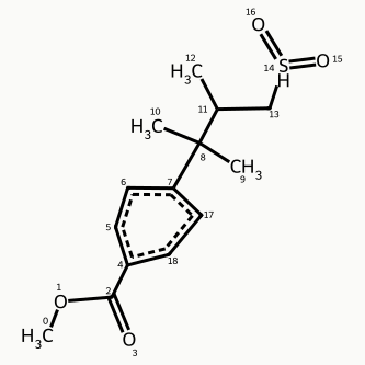 COC(=O)c1ccc(C(C)(C)C(C)C[SH](=O)=O)cc1